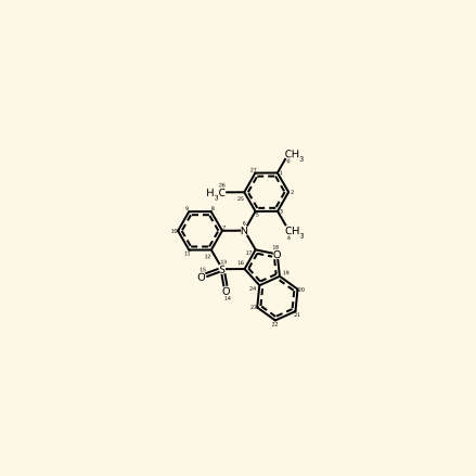 Cc1cc(C)c(N2c3ccccc3S(=O)(=O)c3c2oc2ccccc32)c(C)c1